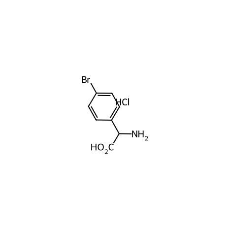 Cl.NC(C(=O)O)c1ccc(Br)cc1